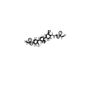 C=CC(=O)OCCCc1ccc(-c2ccc(-c3ccc(OC(=O)C=C)cc3C)cc2F)cc1F